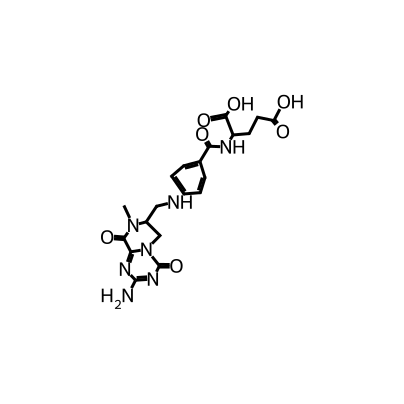 CN1C(=O)c2nc(N)nc(=O)n2CC1CNc1ccc(C(=O)NC(CCC(=O)O)C(=O)O)cc1